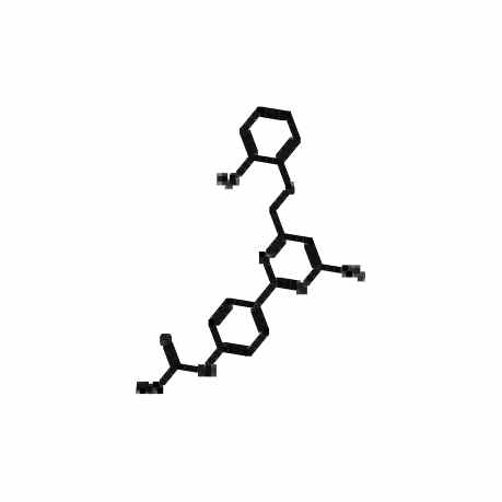 CNC(=O)Nc1ccc(-c2nc(N)cc(CSc3ccccc3C)n2)cc1